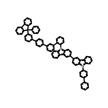 c1ccc(-c2ccc(-n3c4ccccc4c4cc(-c5ccc6c(c5)c5ccccc5n6-c5ccccc5-c5cccc(-c6ccc(-c7cccc(C8(c9ccccc9)c9ccccc9-c9ccccc98)c7)cc6)c5)ccc43)cc2)cc1